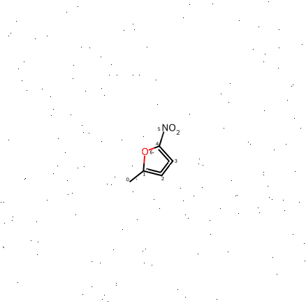 CC1=C=C=C([N+](=O)[O-])O1